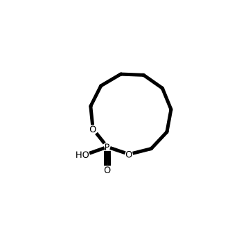 O=P1(O)OCCCCCCCCO1